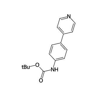 CC(C)(C)OC(=O)Nc1ccc(-c2ccncc2)cc1